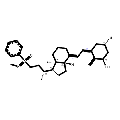 C=C1/C(=C\C=C2/CCC[C@]3(C)[C@@H]([C@H](C)CCS(=O)(=NC)c4ccccc4)CC[C@@H]23)C[C@H](O)C[C@H]1O